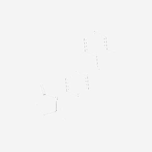 Cc1c[c]cc(C)c1Oc1ccc(N2C(=O)C=CC2=O)cc1